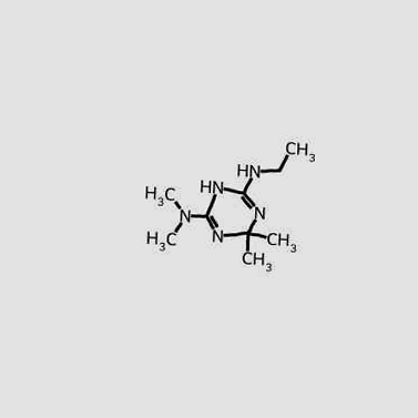 CCNC1=NC(C)(C)N=C(N(C)C)N1